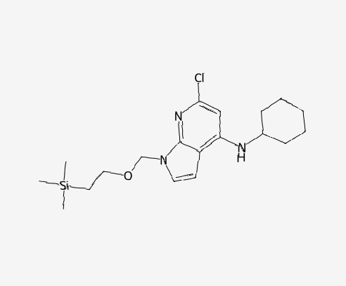 C[Si](C)(C)CCOCn1ccc2c(NC3CCCCC3)cc(Cl)nc21